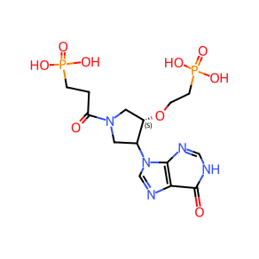 O=C(CCP(=O)(O)O)N1CC(n2cnc3c(=O)[nH]cnc32)[C@@H](OCCP(=O)(O)O)C1